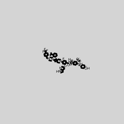 CC(C)c1ccccc1[C@@H]1CN(Cc2ccc(C(F)(F)F)cc2)CCN1C1CC2(CCN(c3cc(Oc4cnc5[nH]ccc5c4)c(C(=O)NS(=O)(=O)c4ccc(NC[C@H]5CC[C@](C)(O)CC5)c([N+](=O)[O-])c4)cc3F)CC2)C1